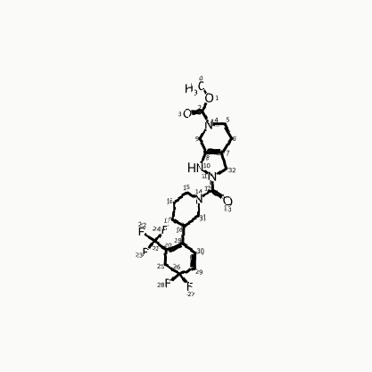 COC(=O)N1CCC2=C(C1)NN(C(=O)N1CCCC(C3=C(C(F)(F)F)CC(F)(F)C=C3)C1)C2